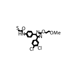 COCCOC1=NC(c2ccc(NC(=O)C=S)cc2)C(c2ccc(Cl)c(Cl)c2)=N1